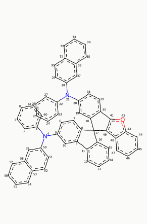 c1ccc(N(c2ccc3c(c2)-c2ccccc2C32c3cc(N(c4ccccc4)c4ccc5ccccc5c4)ccc3-c3oc4ccccc4c32)c2ccc3ccccc3c2)cc1